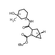 CC(C)(C)OC(=O)N1C(C(=O)N[C@@H]2CCC[C@](C)(O)C2)C[C@@H]2CC21